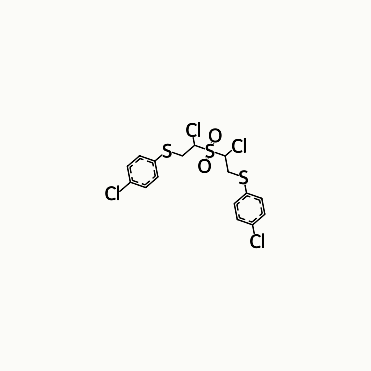 O=S(=O)(C(Cl)CSc1ccc(Cl)cc1)C(Cl)CSc1ccc(Cl)cc1